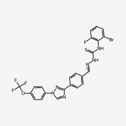 Fc1cccc(Br)c1NC(=S)N/N=C/c1ccc(-c2ncn(-c3ccc(OC(F)(F)F)cc3)n2)cc1